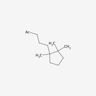 CC(=O)CCCC1(C)CCCC1(C)C